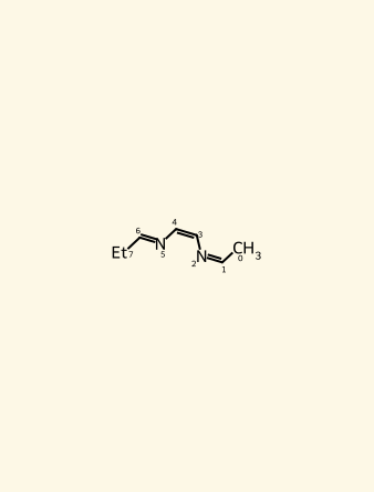 C\C=N/C=C\N=C\CC